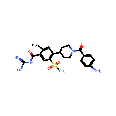 Cc1cc(C2CCN(C(=O)c3ccc(N)cc3)CC2)c(S(C)(=O)=O)cc1C(=O)NC(=N)N